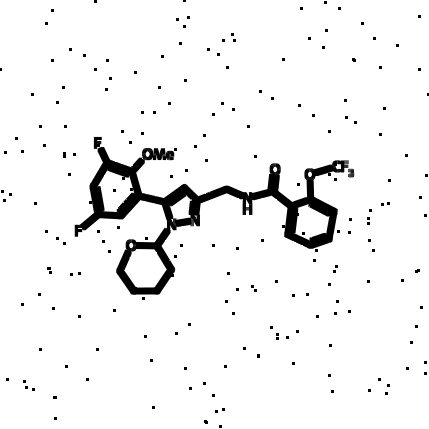 COc1c(F)cc(F)cc1-c1cc(CNC(=O)c2ccccc2OC(F)(F)F)nn1C1CCCCO1